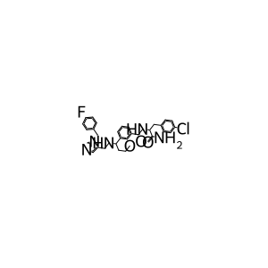 NC(=O)C(Cc1ccc(Cl)cc1)NC(=O)c1cccc2c1OCCC2NCc1cncn1Cc1ccc(F)cc1